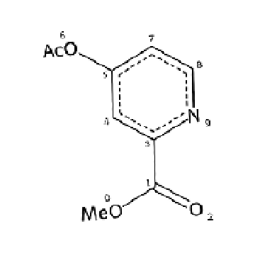 COC(=O)c1cc(OC(C)=O)ccn1